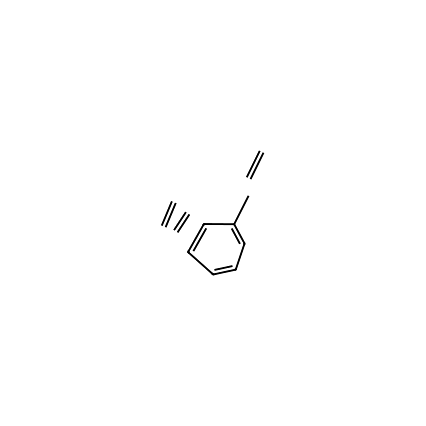 C=C.C=C.C=C.Cc1ccccc1